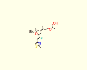 CC(=CC[C@H](O[Si](C)(C)C(C)(C)C)C(F)=Cc1csc(C)n1)CCO[C@H](C)CO